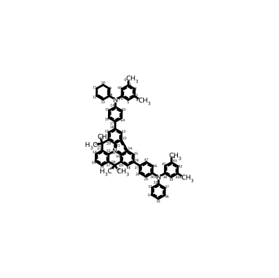 Cc1cc(C)cc(N(C2=CCCC=C2)c2ccc(-c3cc4c5c(c3)c3cc(-c6ccc(N(c7ccccc7)c7cc(C)cc(C)c7)cc6)cc6c3n5-c3c(cccc3C6(C)C)C4(C)C)cc2)c1